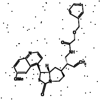 C=C[C@@H](CNC(=O)COCc1ccccc1)[C@H]1CCN2C(=O)S[C@@H](c3ccnc4ccc(OC)cc34)[C@@H]2C1